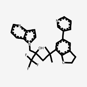 CC(C)(CC(O)(Cn1ccc2ncccc21)C(F)(F)F)c1cc(-c2cccnc2)cc2c1OCC2